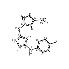 Cc1ccc(Nc2nnc(Sc3ncc([N+](=O)[O-])s3)s2)cc1